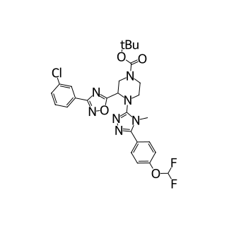 Cn1c(-c2ccc(OC(F)F)cc2)nnc1N1CCN(C(=O)OC(C)(C)C)CC1c1nc(-c2cccc(Cl)c2)no1